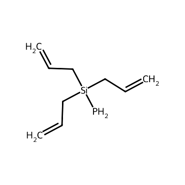 C=CC[Si](P)(CC=C)CC=C